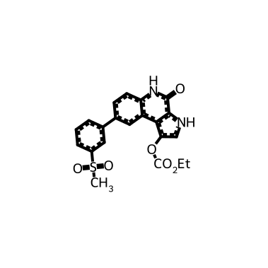 CCOC(=O)Oc1c[nH]c2c(=O)[nH]c3ccc(-c4cccc(S(C)(=O)=O)c4)cc3c12